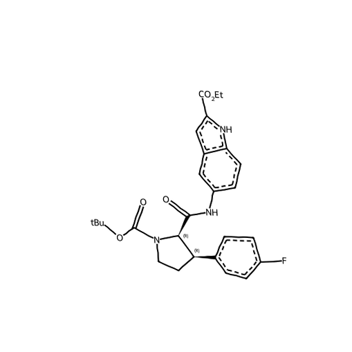 CCOC(=O)c1cc2cc(NC(=O)[C@H]3[C@@H](c4ccc(F)cc4)CCN3C(=O)OC(C)(C)C)ccc2[nH]1